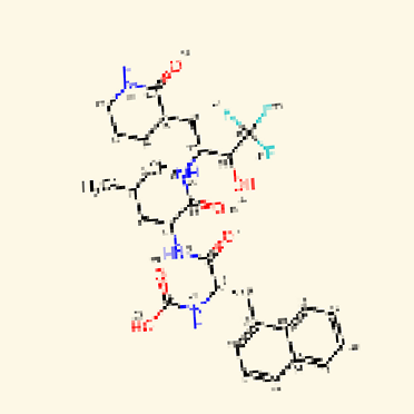 CC(C)C[C@H](NC(=O)[C@H](Cc1cccc2ccccc12)NC(=O)O)C(=O)N[C@@H](CC1CCCNC1=O)C(O)C(F)(F)F